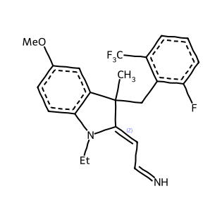 CCN1/C(=C\C=N)C(C)(Cc2c(F)cccc2C(F)(F)F)c2cc(OC)ccc21